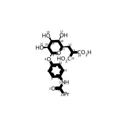 CC(C)C(=O)Nc1ccc(O[C@H]2O[C@H](CC(C(=O)O)C(=O)O)[C@@H](O)[C@H](O)[C@@H]2O)cc1